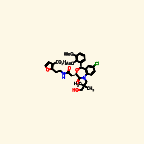 COc1cccc([C@@H]2O[C@@H](CC(=O)NCCc3occc3C(=O)O)C(=O)N(CC(C)(C)CO)c3ccc(Cl)cc32)c1OC